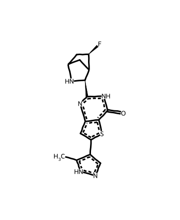 Cc1[nH]ncc1-c1cc2nc([C@H]3NC4CC3[C@H](F)C4)[nH]c(=O)c2s1